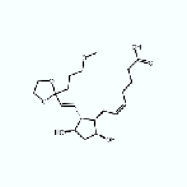 COCCCC1(/C=C/[C@@H]2[C@@H](C/C=C\CCCC(=O)O)[C@@H](O)C[C@H]2O)OCCO1